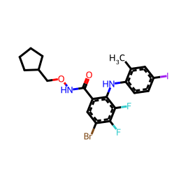 Cc1cc(I)ccc1Nc1c(C(=O)NOCC2CCCC2)cc(Br)c(F)c1F